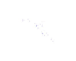 CC(N)C1(C)CCN(c2ncc(Sc3ccnc(N4CC(CC#N)C4)c3Cl)nc2CO)CC1